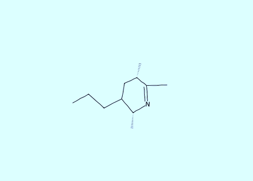 CCCC1C[C@H](C)C(C)=N[C@@H]1C